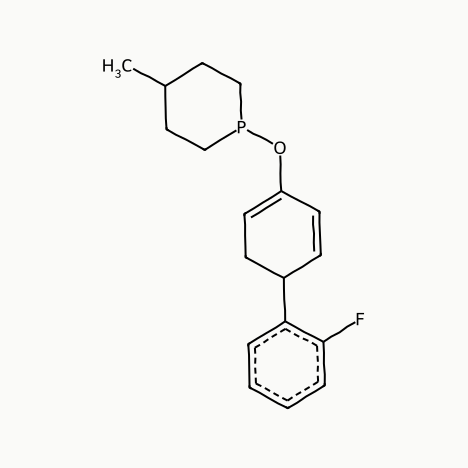 CC1CCP(OC2=CCC(c3ccccc3F)C=C2)CC1